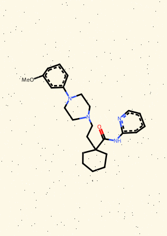 COc1cccc(N2CCN(CCC3(C(=O)Nc4ccccn4)CCCCC3)CC2)c1